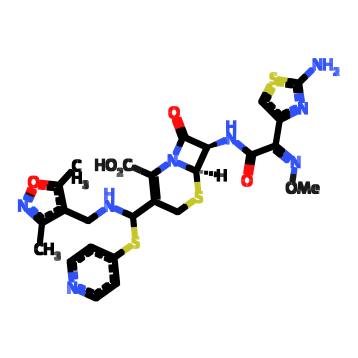 CO/N=C(\C(=O)N[C@@H]1C(=O)N2C(C(=O)O)=C(C(NCc3c(C)noc3C)Sc3ccncc3)CS[C@H]12)c1csc(N)n1